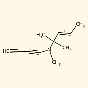 C#CC#CN(C)C(C)(C)/C=C/C